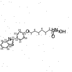 O=C(CCCCCCOc1ccc(-c2nc3ccccc3s2)cc1)NO